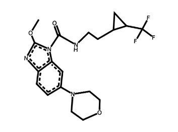 COc1nc2ccc(N3CCOCC3)cc2n1C(=O)NCCC1CC1C(F)(F)F